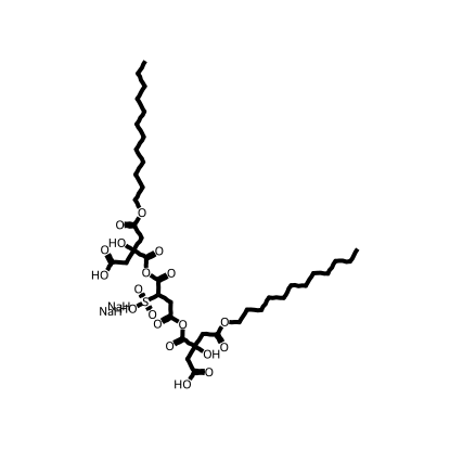 CCCCCCCCCCCCOC(=O)CC(O)(CC(=O)O)C(=O)OC(=O)CC(C(=O)OC(=O)C(O)(CC(=O)O)CC(=O)OCCCCCCCCCCCC)S(=O)(=O)O.[NaH].[NaH]